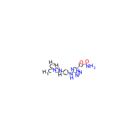 CC(C)N1C[C@@H]2C[C@H]1CN2c1ccc(Nc2ncc(-c3coc(C(N)=O)c3)n3ncnc23)cc1